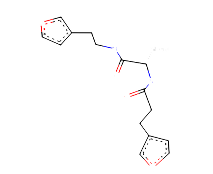 CCCCC[C@H](NC(=O)CCc1ccoc1)C(=O)NCCc1ccoc1